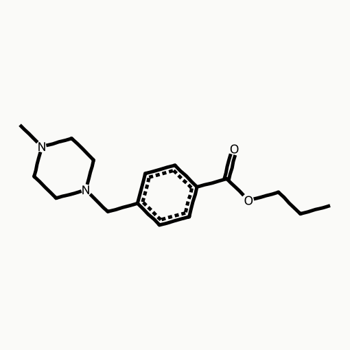 CCCOC(=O)c1ccc(CN2CCN(C)CC2)cc1